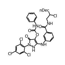 CCCCCCCCCCC(Cl)CNC(=O)c1cccc(Nc2[nH]n(-c3c(Cl)cc(Cl)cc3Cl)c(=O)c2OC(=O)Nc2ccccc2)c1